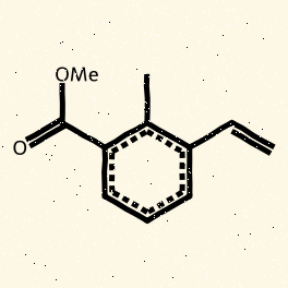 C=Cc1cccc(C(=O)OC)c1C